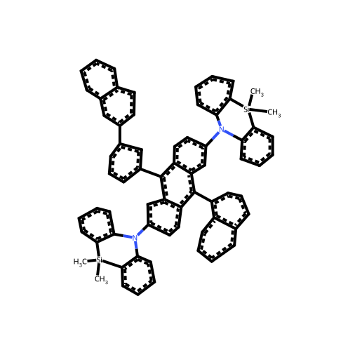 C[Si]1(C)c2ccccc2N(c2ccc3c(-c4cccc5ccccc45)c4cc(N5c6ccccc6[Si](C)(C)c6ccccc65)ccc4c(-c4cccc(-c5ccc6ccccc6c5)c4)c3c2)c2ccccc21